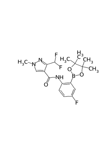 Cn1cc(C(=O)Nc2ccc(F)cc2B2OC(C)(C)C(C)(C)O2)c(C(F)F)n1